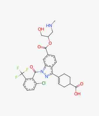 CNCC(CO)OC(=O)c1ccc2c(C3=CCC(C(=O)O)CC3)nn(C(=O)c3c(Cl)cccc3C(F)(F)F)c2c1